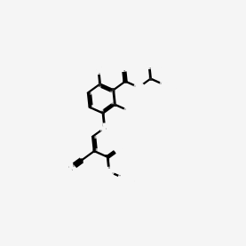 COC(=O)C(C#N)=CNc1ccc(Cl)c(C(=O)OC(C)C)c1Cl